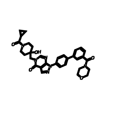 O=C(c1cccc(-c2ccc(-n3ncc4c(=O)n(CC5(O)CCN(C(=O)C6CC6)CC5)cnc43)cc2)c1)N1CCOCC1